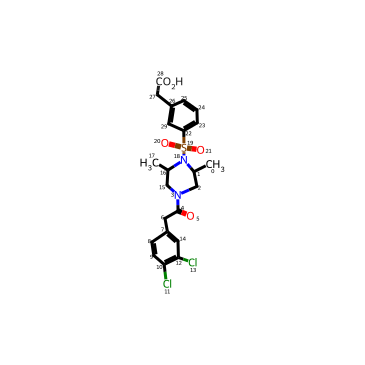 CC1CN(C(=O)Cc2ccc(Cl)c(Cl)c2)CC(C)N1S(=O)(=O)c1cccc(CC(=O)O)c1